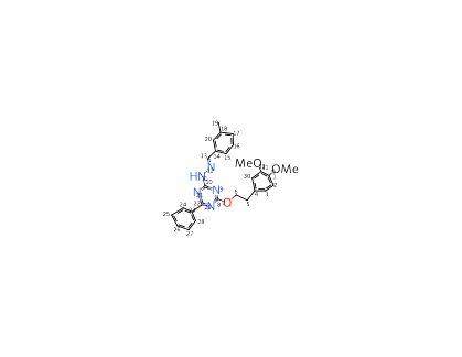 COc1ccc(CCOc2nc(NN=Cc3cccc(C)c3)nc(-c3ccccc3)n2)cc1OC